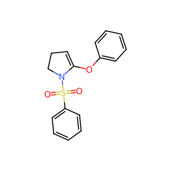 O=S(=O)(c1ccccc1)N1CCC=C1Oc1ccccc1